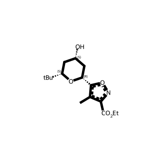 CCOC(=O)c1noc([C@H]2C[C@@H](O)C[C@@H](C(C)(C)C)O2)c1C